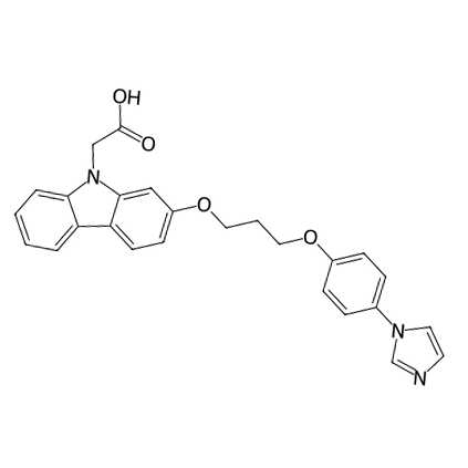 O=C(O)Cn1c2ccccc2c2ccc(OCCCOc3ccc(-n4ccnc4)cc3)cc21